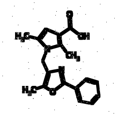 Cc1oc(-c2ccccc2)nc1Cn1c(C)cc(C(=O)O)c1C